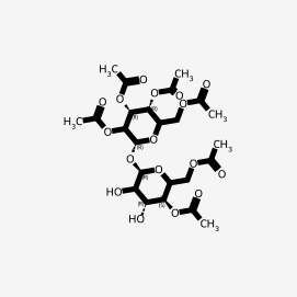 CC(=O)OCC1O[C@H](O[C@H]2OC(COC(C)=O)[C@@H](OC(C)=O)[C@@H](OC(C)=O)C2OC(C)=O)C(O)[C@@H](O)[C@@H]1OC(C)=O